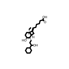 CC[C@@]12CC[C@H](O)[C@@H](CCC(O)C3CCCCC3)[C@@H]1CC2=CCCCCC(=O)O